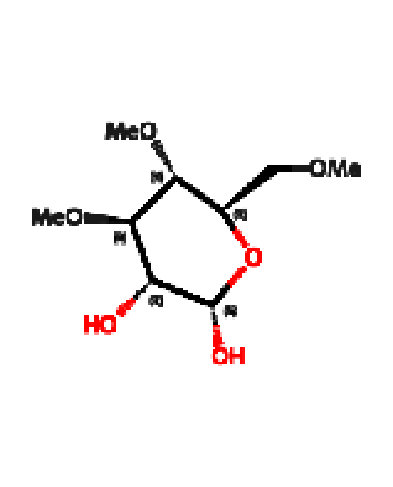 COC[C@H]1O[C@H](O)[C@H](O)[C@@H](OC)[C@@H]1OC